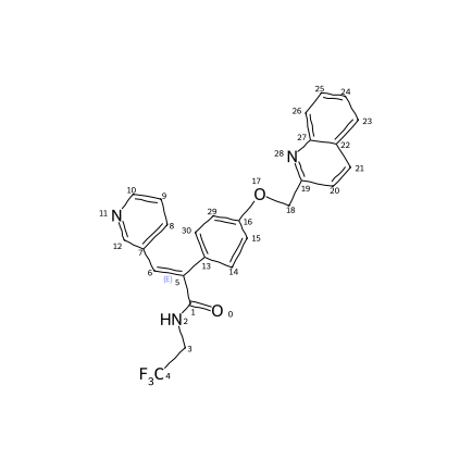 O=C(NCC(F)(F)F)/C(=C/c1cccnc1)c1ccc(OCc2ccc3ccccc3n2)cc1